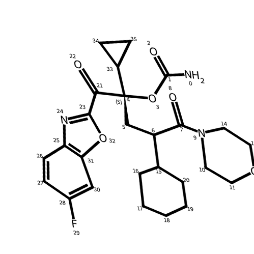 NC(=O)O[C@](CC(C(=O)N1CCOCC1)C1CCCCC1)(C(=O)c1nc2ccc(F)cc2o1)C1CC1